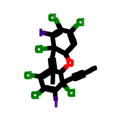 CC#CC1(Cl)C(I)=C(Cl)C(Cl)=CC1OC1C=C(Cl)C(Cl)=C(I)C1(Cl)C#CC